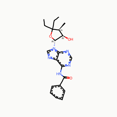 CCC1(CC)O[C@@H](n2cnc3c(NC(=O)c4ccccc4)ncnc32)[C@H](O)[C@@H]1C